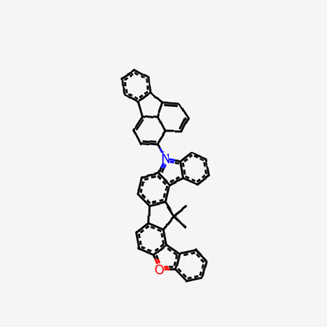 CC1(C)c2c(ccc3oc4ccccc4c23)-c2ccc3c(c21)c1ccccc1n3C1=CC=C2c3ccccc3C3=CC=CC1C32